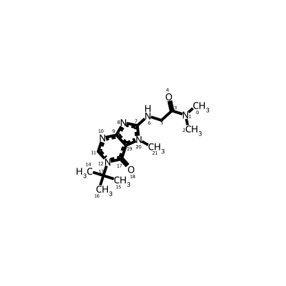 CN(C)C(=O)CNc1nc2ncn(C(C)(C)C)c(=O)c2n1C